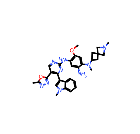 COc1cc(N(C)C2CC3(C2)CN(C)C3)c(N)cc1Nc1ncc(-c2nnc(C)o2)c(-c2cn(C)c3ccccc23)n1